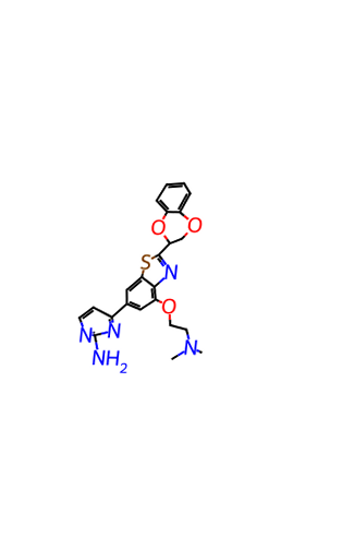 CN(C)CCOc1cc(-c2ccnc(N)n2)cc2sc(C3COc4ccccc4O3)nc12